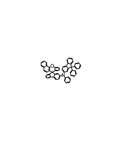 c1ccc(N(c2ccc3c(c2)C(c2ccccc2)(c2ccccc2)c2ccccc2-3)c2ccc3c(c2)C2(c4ccccc4Oc4c2ccc2ccccc42)c2ccccc2-3)cc1